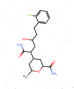 CC1CC(C(CC(O)[CH]Cc2ccccc2F)C(N)=O)CC(C(N)=O)O1